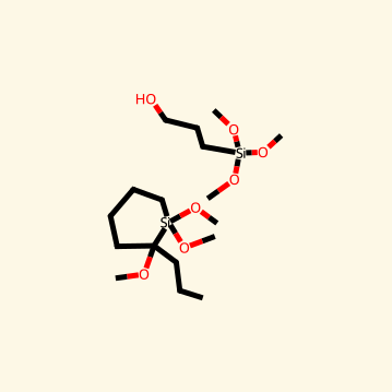 CCCC1(OC)CCCC[Si]1(OC)OC.CO[Si](CCCO)(OC)OC